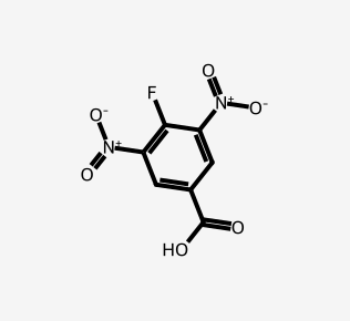 O=C(O)c1cc([N+](=O)[O-])c(F)c([N+](=O)[O-])c1